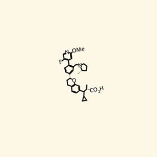 COc1cc(-c2ccc([C@H]3CCc4ccc(C(C5CC5)[C@H](C)C(=O)O)cc4O3)cc2CN2CCC[C@@H]2C)c(F)cn1